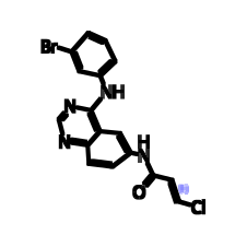 O=C(/C=C/Cl)Nc1ccc2ncnc(Nc3cccc(Br)c3)c2c1